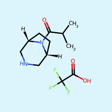 CC(C)C(=O)N1[C@@H]2CC[C@H]1CNC2.O=C(O)C(F)(F)F